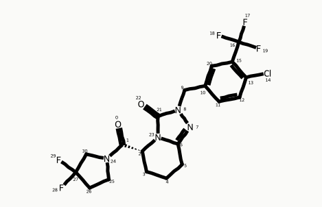 O=C([C@H]1CCCc2nn(Cc3ccc(Cl)c(C(F)(F)F)c3)c(=O)n21)N1CCC(F)(F)C1